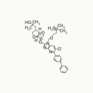 CC(C)(O)CC1CO[C@H]2[C@@H]1OC[C@H]2Oc1nc2nc(-c3ccc(-c4ccccc4)cc3)c(Cl)cc2n1COCC[Si](C)(C)C